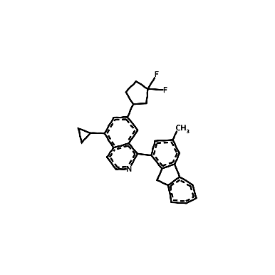 Cc1cc2c(c(-c3nccc4c(C5CC5)cc(C5CCC(F)(F)C5)cc34)c1)Cc1ccccc1-2